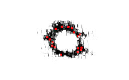 CCCC[C@H]1C(=O)N(C)[C@@H](CCCC)C(=O)N[C@@H](CC(=O)O)C(=O)N[C@H](C(=O)NCC(N)=O)CSCC(=O)N[C@@H](Cc2ccc(O)cc2)C(=O)N(C)[C@@H](C)C(=O)N[C@@H](CC(=O)O)C(=O)N2CCCC2C(=O)N[C@@H](CN)C(=O)N[C@@H](CC(C)C)C(=O)N2C[C@H](O)C[C@H]2C(=O)N[C@@H](Cc2c[nH]c3ccccc23)C(=O)N[C@@H](CCN)C(=O)N[C@@H](Cc2cn(CC(=O)O)c3ccccc23)C(=O)N1C